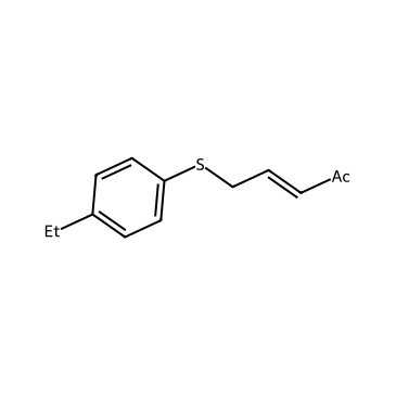 CCc1ccc(SCC=CC(C)=O)cc1